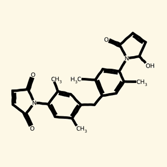 Cc1cc(N2C(=O)C=CC2=O)c(C)cc1Cc1cc(C)c(N2C(=O)C=CC2O)cc1C